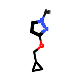 CC(=O)n1ccc(OCC2CC2)n1